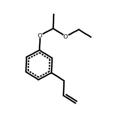 C=CCc1cccc(OC(C)OCC)c1